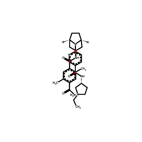 CCN1CC[C@@H](NC(=O)c2ccc(N3[C@@H]4CC[C@H]3C[C@@H](NC(=O)c3cc(C)c(C(N)=O)cc3C)C4)nc2)C1